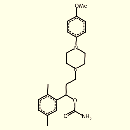 COc1ccc(N2CCN(CCC(OC(N)=O)c3cc(C)ccc3C)CC2)cc1